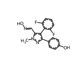 Cn1nc(-c2ccc(O)cc2)c(-c2c(F)cccc2F)c1C=NO